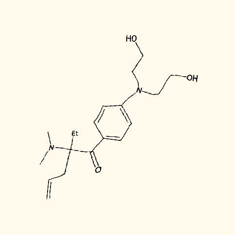 C=CCC(CC)(C(=O)c1ccc(N(CCO)CCO)cc1)N(C)C